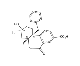 CC[C@]1(O)CC[C@]2(Cc3ccccc3)c3ccc(C(=O)O)cc3C(=O)CC[C@@H]2C1